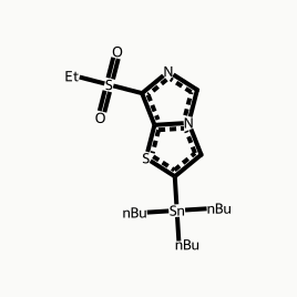 CCC[CH2][Sn]([CH2]CCC)([CH2]CCC)[c]1cn2cnc(S(=O)(=O)CC)c2s1